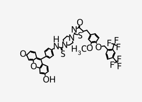 COc1cc(CC2SC(N3CCN(C(=S)Nc4ccc(-c5c6ccc(=O)cc-6oc6cc(O)ccc56)cc4)CC3)=NC2=O)ccc1OCc1ccc(C(F)(F)F)cc1C(F)(F)F